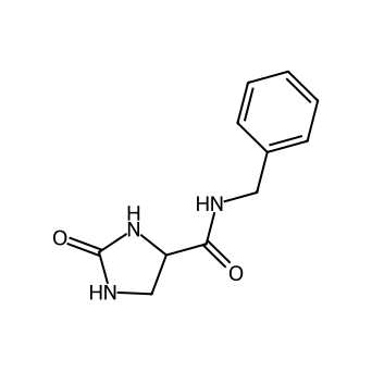 O=C1NCC(C(=O)NCc2ccccc2)N1